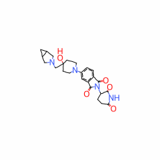 O=C1CCC(N2C(=O)c3ccc(N4CCC(O)(CN5CC6CC6C5)CC4)cc3C2=O)C(=O)N1